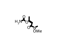 CON(C)C(=O)C=C(C)OC(N)=O